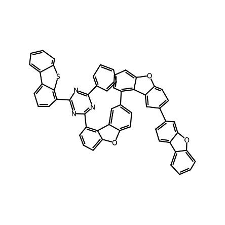 c1ccc(-c2nc(-c3cccc4c3sc3ccccc34)nc(-c3cccc4oc5ccc(-c6cccc7oc8ccc(-c9ccc%10c(c9)oc9ccccc9%10)cc8c67)cc5c34)n2)cc1